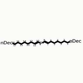 CCCCCCCCCCCCCCCC/C=C/[P]/C=C/CCCCCCCCCCCCCCCC